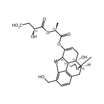 C[C@H](OC(=O)[C@@H](O)CC(=O)O)C(=O)OC1=CC[C@@]2(O)[C@H]3Cc4ccc(CO)c5c4[C@@]2(CCN3C)[C@H]1O5